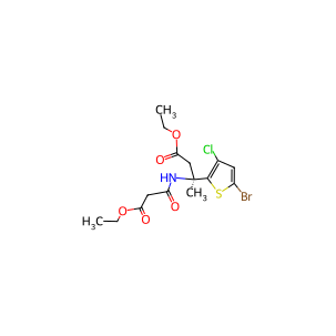 CCOC(=O)CC(=O)N[C@@](C)(CC(=O)OCC)c1sc(Br)cc1Cl